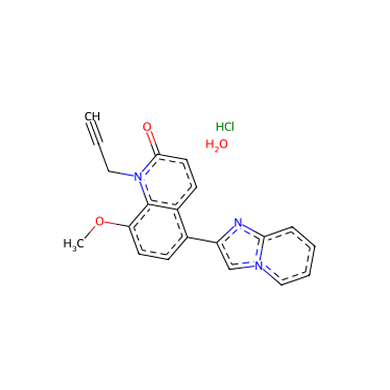 C#CCn1c(=O)ccc2c(-c3cn4ccccc4n3)ccc(OC)c21.Cl.O